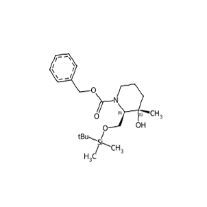 CC(C)(C)[Si](C)(C)OC[C@H]1N(C(=O)OCc2ccccc2)CCC[C@]1(C)O